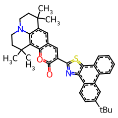 CC(C)(C)c1ccc2c(c1)c1ccccc1c1sc(-c3cc4cc5c6c(c4oc3=O)C(C)(C)CCN6CCC5(C)C)nc21